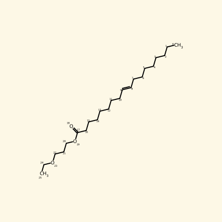 CCCCCCCC/C=C/CCCCCCCC(=O)OCCCOCC